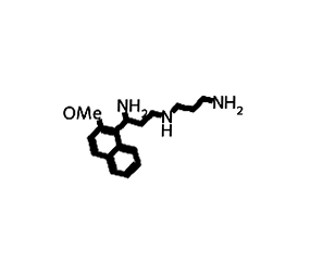 COc1ccc2ccccc2c1C(N)CCNCCCN